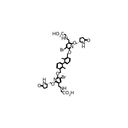 Cc1c(COc2nc(OC[C@@H]3CCC(=O)N3)c(CNCC(=O)O)cc2Br)cccc1-c1cccc(COc2nc(OC[C@@H]3CCC(=O)N3)c(CNCC(=O)O)cc2Br)c1C